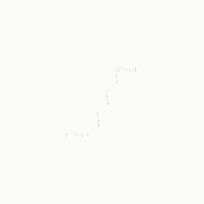 [CH2]CCCCCCC[CH]CCCCCC